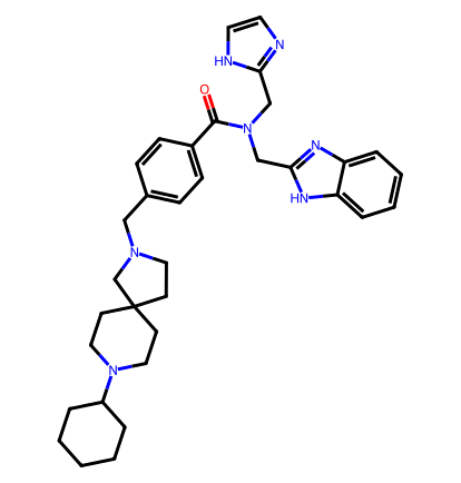 O=C(c1ccc(CN2CCC3(CCN(C4CCCCC4)CC3)C2)cc1)N(Cc1ncc[nH]1)Cc1nc2ccccc2[nH]1